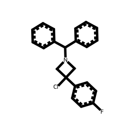 Fc1ccc(C2(Cl)CN(C(c3ccccc3)c3ccccc3)C2)cc1